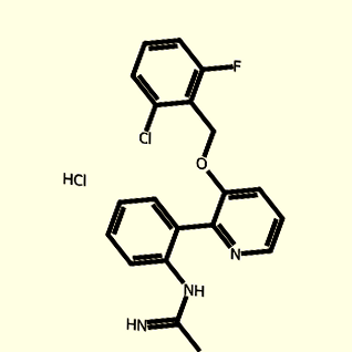 CC(=N)Nc1ccccc1-c1ncccc1OCc1c(F)cccc1Cl.Cl